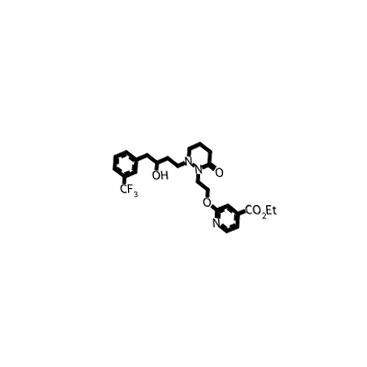 CCOC(=O)c1ccnc(OCCN2C(=O)CCCN2CCC(O)Cc2cccc(C(F)(F)F)c2)c1